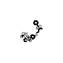 Cc1oc(-c2ccccc2)nc1CCSc1ccc(S(=O)(=O)N2CCC[C@H]2OC(=O)O)cc1